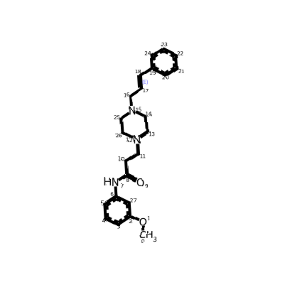 COc1cccc(NC(=O)CCN2CCN(C/C=C/c3ccccc3)CC2)c1